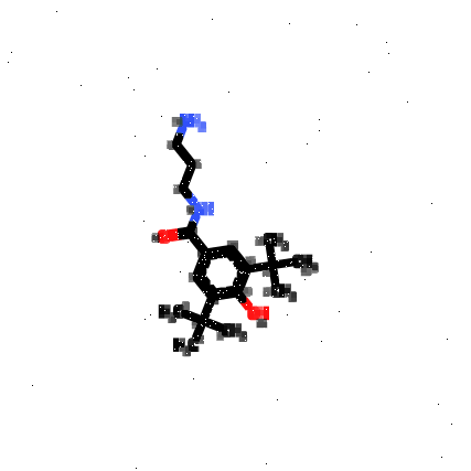 CC(C)(C)c1cc(C(=O)NCCCN)cc(C(C)(C)C)c1O